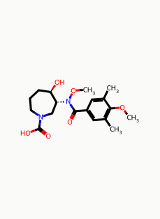 COc1c(C)cc(C(=O)N(OC)[C@@H]2CN(C(=O)O)CCC[C@H]2O)cc1C